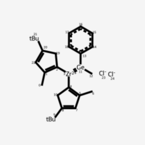 CC1=[C]([Zr+2]([C]2=C(C)C=C(C(C)(C)C)C2)=[Ge]([CH3])[c]2ccccc2)CC(C(C)(C)C)=C1.[Cl-].[Cl-]